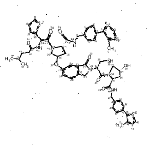 Cc1ncsc1-c1ccc(CNC(=O)[C@@H]2C[C@@H](Oc3ccc4c(c3)C(=O)N([C@@H](CS)C(=O)N3C[C@H](O)C[C@H]3C(=O)NCc3ccc(-c5scnc5C)cc3)C4)CN2C(=O)[C@@H](NC(=O)CCC(C)C)c2cccs2)cc1